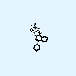 O=S(=O)(Oc1cc(-c2ccccc2)c2ccccc2c1Br)C(F)(F)F